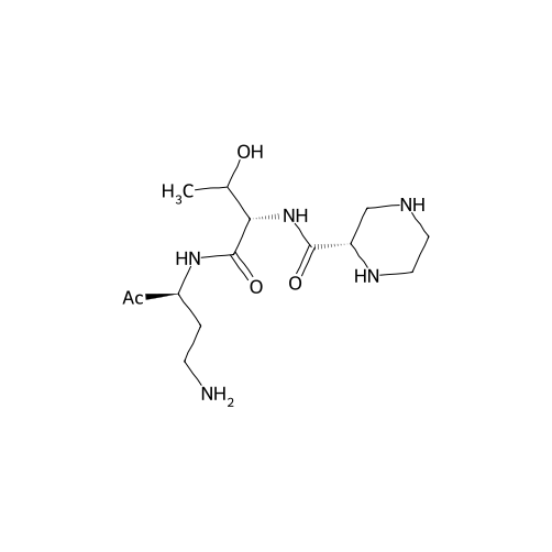 CC(=O)[C@H](CCN)NC(=O)[C@@H](NC(=O)[C@@H]1CNCCN1)C(C)O